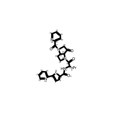 CCCC(NC(=O)c1ccc(-c2ccccn2)s1)C(=O)N1CCC2C1C(=O)CN2C(=O)c1ccccn1